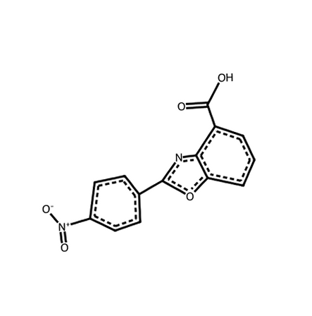 O=C(O)c1cccc2oc(-c3ccc([N+](=O)[O-])cc3)nc12